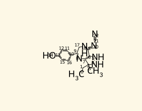 CCC1(C)NNC2=C1N=C(c1ccc(O)cc1)CNC2=NC#N